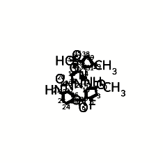 COc1cc(F)c([N+](=O)[O-])cc1Nc1nccc(-n2c(=O)[nH]c3ccccc32)n1.Cc1ccc(S(=O)(=O)O)cc1